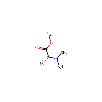 CCCOC(=O)[C@@H](C)N(C)C